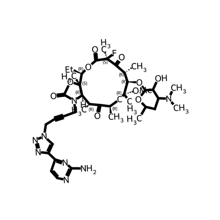 CC[C@H]1OC(=O)[C@@](C)(F)C(=O)[C@H](C)[C@@H](O[C@@H]2OC(C)CC(N(C)C)C2O)[C@](C)(OC)C[C@@H](C)C(=O)[C@H](C)[C@H]2N(CC#CCn3cc(-c4ccnc(N)n4)nn3)C(=O)O[C@]12C